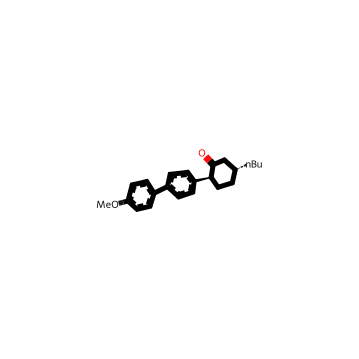 CCCC[C@@H]1CC[C@@H](c2ccc(-c3ccc(OC)cc3)cc2)C(=O)C1